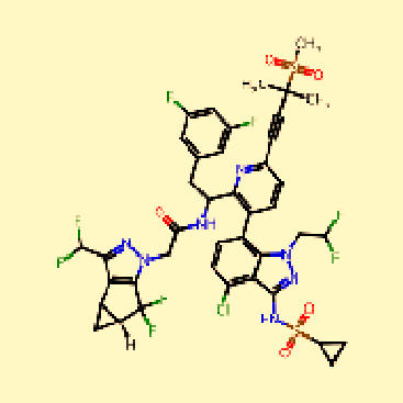 CC(C)(C#Cc1ccc(-c2ccc(Cl)c3c(NS(=O)(=O)C4CC4)nn(CC(F)F)c23)c(C(Cc2cc(F)cc(F)c2)NC(=O)Cn2nc(C(F)F)c3c2C(F)(F)[C@@H]2CC32)n1)S(C)(=O)=O